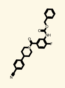 N#Cc1ccc(C2CCN(C(=O)c3ccc(F)c(NC(=O)OCc4ccccc4)c3)CC2)cc1